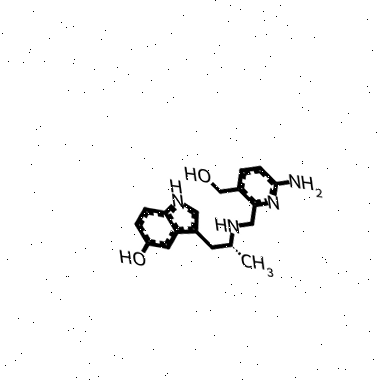 C[C@H](Cc1c[nH]c2ccc(O)cc12)NCc1nc(N)ccc1CO